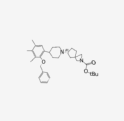 Cc1cc(C2CCN([C@@H]3CCC4(C3)CN(C(=O)OC(C)(C)C)C4)CC2)c(OCc2ccccc2)c(C)c1C